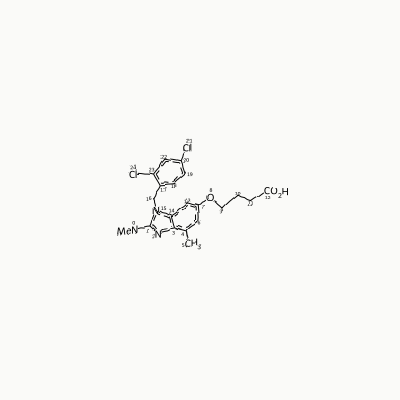 CNc1nc2c(C)cc(OCCCC(=O)O)cc2n1Cc1ccc(Cl)cc1Cl